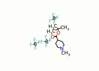 CN1CCC(C(=O)OC(C)(C)C)CC1.F[B-](F)(F)F.F[B-](F)(F)F.F[B-](F)(F)F